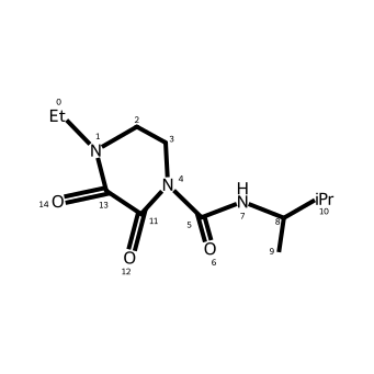 CCN1CCN(C(=O)NC(C)C(C)C)C(=O)C1=O